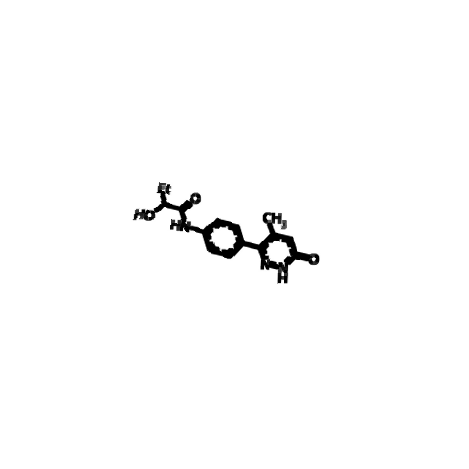 CCC(O)C(=O)Nc1ccc(-c2n[nH]c(=O)cc2C)cc1